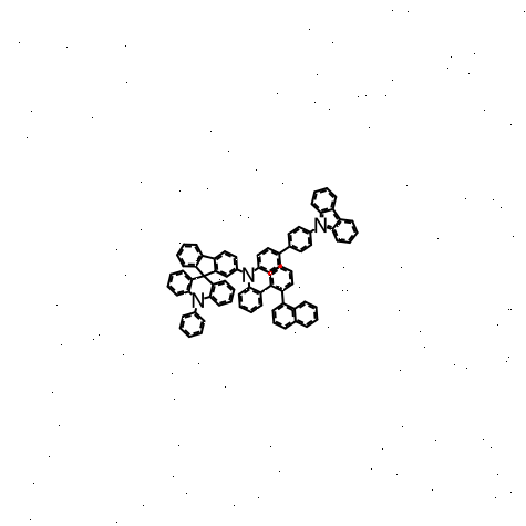 c1ccc(N2c3ccccc3C3(c4ccccc4-c4ccc(N(c5ccc(-c6ccc(-n7c8ccccc8c8ccccc87)cc6)cc5)c5ccccc5-c5ccccc5-c5cccc6ccccc56)cc43)c3ccccc32)cc1